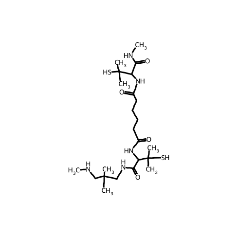 CNCC(C)(C)CNC(=O)C(NC(=O)CCCCC(=O)NC(C(=O)NC)C(C)(C)S)C(C)(C)S